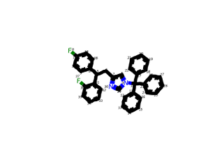 Fc1ccc(C(Cc2cn(C(c3ccccc3)(c3ccccc3)c3ccccc3)cn2)c2ccccc2F)cc1